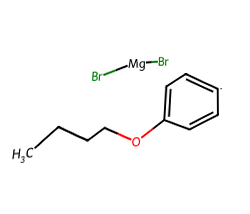 CCCCOc1cc[c]cc1.[Br][Mg][Br]